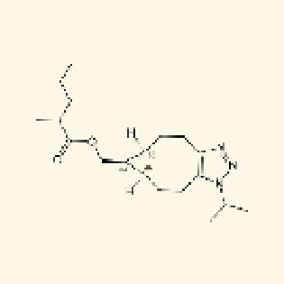 CCCC(C)C(=O)OC[C@@H]1[C@@H]2CCc3c(nnn3C(C)C)CC[C@@H]21